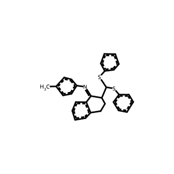 Cc1ccc(/N=C2\c3ccccc3CCC2C(Sc2ccccc2)Sc2ccccc2)cc1